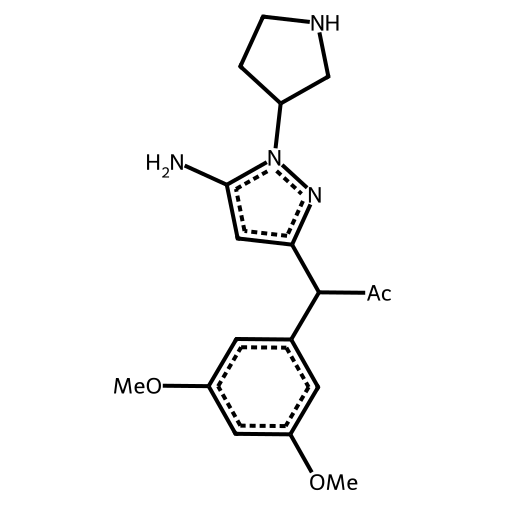 COc1cc(OC)cc(C(C(C)=O)c2cc(N)n(C3CCNC3)n2)c1